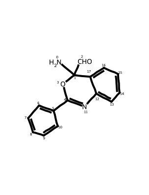 NC1(C=O)OC(c2ccccc2)=Nc2ccccc21